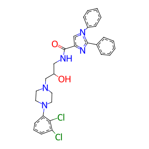 O=C(NCC(O)CN1CCN(c2cccc(Cl)c2Cl)CC1)c1cn(-c2ccccc2)c(-c2ccccc2)n1